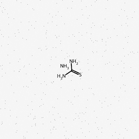 N.NC(N)=S